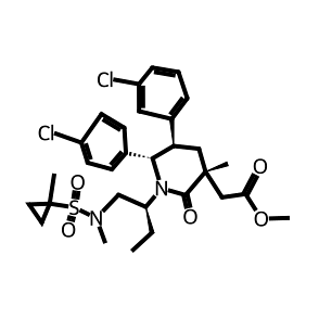 CC[C@@H](CN(C)S(=O)(=O)C1(C)CC1)N1C(=O)[C@@](C)(CC(=O)OC)C[C@H](c2cccc(Cl)c2)[C@H]1c1ccc(Cl)cc1